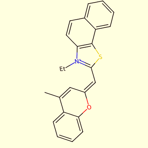 CC[n+]1c(C=C2C=C(C)c3ccccc3O2)sc2c3ccccc3ccc21